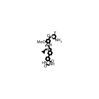 COc1cc(C(=O)N2C[C@H](N)C[C@@H](F)C2)cc2nc(-c3cc4ccc(-c5ccc6c(c5)C(=O)NCC(=O)N6)cc4n3CC3CC3)n(C)c12